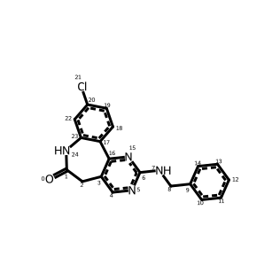 O=C1Cc2cnc(NCc3ccccc3)nc2-c2ccc(Cl)cc2N1